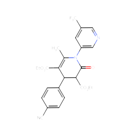 CCOC(=O)C1=C(C)N(c2cncc(C(F)(F)F)c2)C(=O)C(C(=O)OCC)C1c1ccc(C#N)cc1